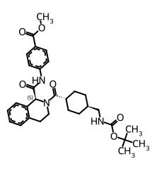 COC(=O)c1ccc(NC(=O)[C@@H]2c3ccccc3CCN2C(=O)[C@H]2CC[C@H](CNC(=O)OC(C)(C)C)CC2)cc1